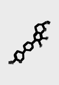 CCCC1=CCC(C2CCC(c3cc4c(c(F)c3F)OC(CCC)CC4)CC2)CO1